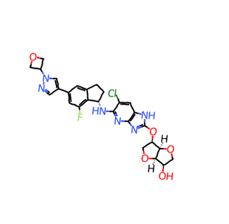 O[C@@H]1CO[C@H]2[C@@H]1OC[C@H]2Oc1nc2nc(N[C@H]3CCc4cc(-c5cnn(C6COC6)c5)cc(F)c43)c(Cl)cc2[nH]1